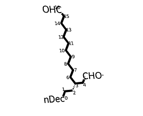 CCCCCCCCCCCC[C@@H](C[C]=O)CCCCCCCCCCC=O